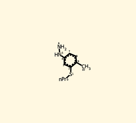 CCCSc1cc(NN)ccc1C